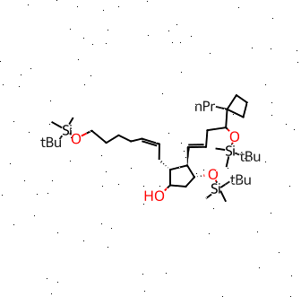 CCCC1(C(C/C=C/[C@H]2[C@H](O[Si](C)(C)C(C)(C)C)CC(O)[C@@H]2C/C=C\CCCCO[Si](C)(C)C(C)(C)C)O[Si](C)(C)C(C)(C)C)CCC1